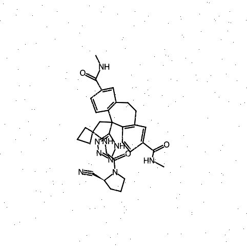 CNC(=O)c1ccc2c(c1)CCc1cc(C(=O)NC)ccc1C2(CC1(NCC(=O)N2CCC[C@H]2C#N)CCC1)c1nnn[nH]1